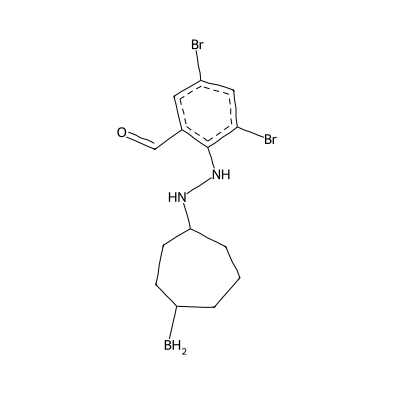 BC1CCCC(NNc2c(Br)cc(Br)cc2C=O)CC1